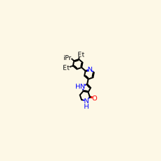 CCc1cc(-c2cc(-c3cc4c([nH]3)CCNC4=O)ccn2)cc(CC)c1C(C)C